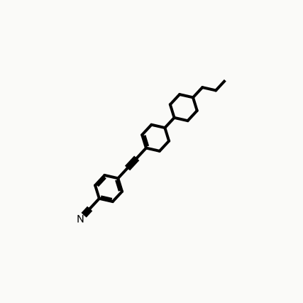 CCCC1CCC(C2CC=C(C#Cc3ccc(C#N)cc3)CC2)CC1